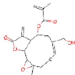 C=C(C)C(=O)OC1CC(CO)=CCCC2(C)OC2C2OC(=O)C(=C)C12